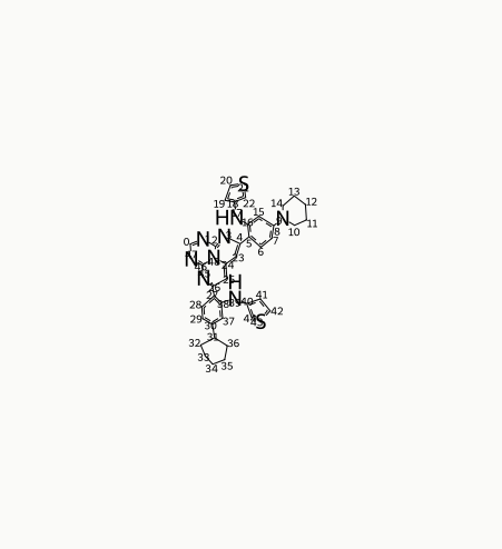 C1=NC2=NC(c3ccc(N4CCCCC4)cc3Nc3ccsc3)=CC3=CC(c4ccc(C5CCCCC5)cc4Nc4ccsc4)=NC(=N1)N32